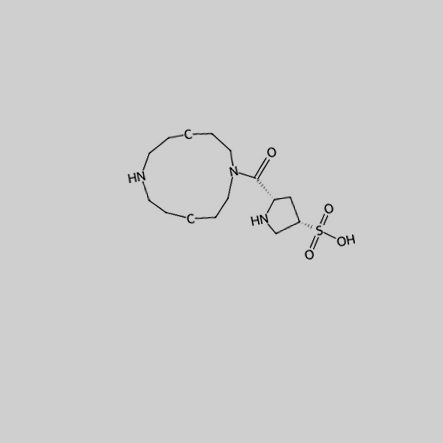 O=C([C@@H]1C[C@H](S(=O)(=O)O)CN1)N1CCCCCNCCCCC1